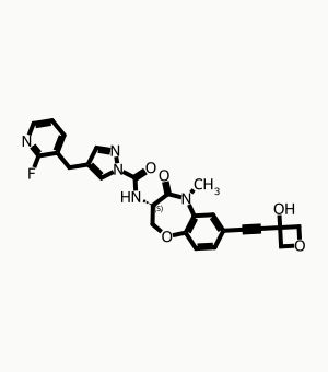 CN1C(=O)[C@@H](NC(=O)n2cc(Cc3cccnc3F)cn2)COc2ccc(C#CC3(O)COC3)cc21